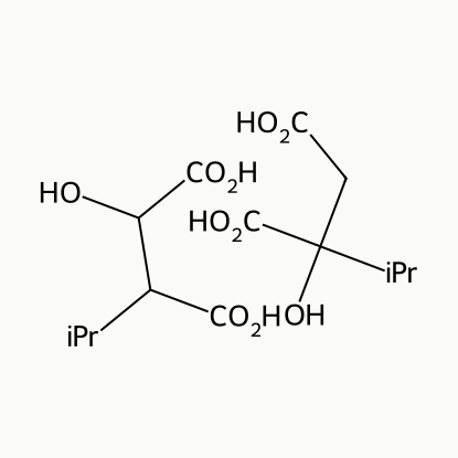 CC(C)C(C(=O)O)C(O)C(=O)O.CC(C)C(O)(CC(=O)O)C(=O)O